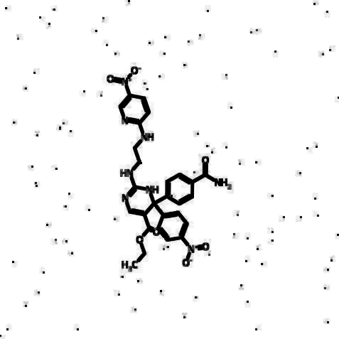 CCOC(=O)C1=CN=C(NCCNc2ccc([N+](=O)[O-])cn2)NC1(c1ccc(C(N)=O)cc1)c1ccc([N+](=O)[O-])cc1